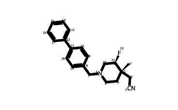 C[C@@]1(CC#N)CCN(Cc2ccc(-c3ccccc3)cc2)C[C@H]1F